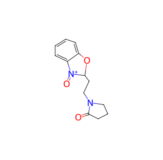 O=C1CCCN1CCC1Oc2ccccc2[N+]1=O